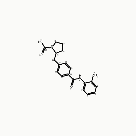 Nc1ccccc1NC(=O)c1ccc(CC2CCCN2C(=S)S)cc1